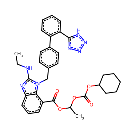 CCNc1nc2cccc(C(=O)OC(C)OC(=O)OC3CCCCC3)c2n1Cc1ccc(-c2ccccc2-c2nnn[nH]2)cc1